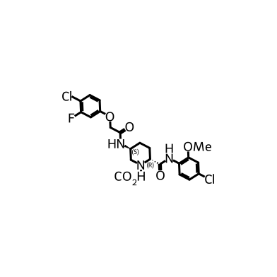 COc1cc(Cl)ccc1NC(=O)[C@H]1CC[C@H](NC(=O)COc2ccc(Cl)c(F)c2)CN1C(=O)O